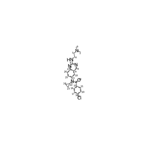 CN(C)CCNc1ncc2cc(N(C(=O)c3ccc(Cl)cc3)C3CC3)ccc2n1